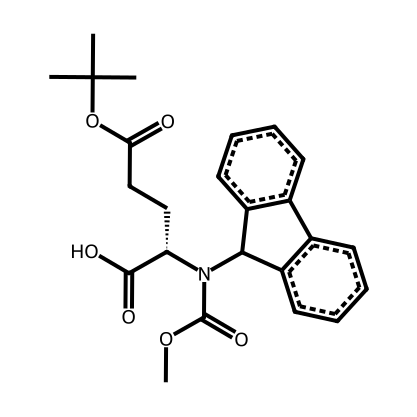 COC(=O)N(C1c2ccccc2-c2ccccc21)[C@@H](CCC(=O)OC(C)(C)C)C(=O)O